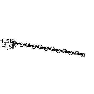 COCCOCCOCCOCCOCCOCCOCCOCCOCCOCCOCCC[Si](C)(O[SiH2]C)O[SiH2]C